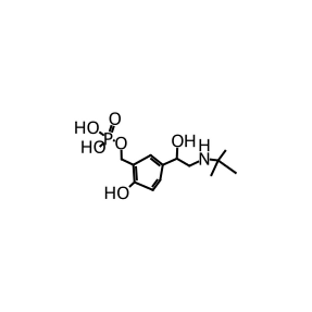 CC(C)(C)NCC(O)c1ccc(O)c(COP(=O)(O)O)c1